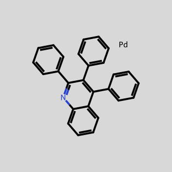 [Pd].c1ccc(-c2nc3ccccc3c(-c3ccccc3)c2-c2ccccc2)cc1